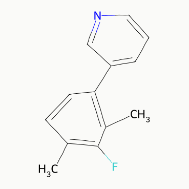 Cc1ccc(-c2cccnc2)c(C)c1F